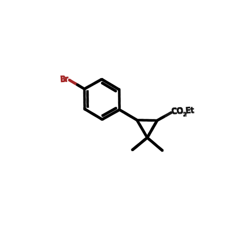 CCOC(=O)C1C(c2ccc(Br)cc2)C1(C)C